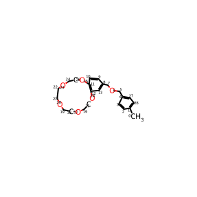 Cc1ccc(COCc2ccc3c(c2)OCCOCCOCCOCCO3)cc1